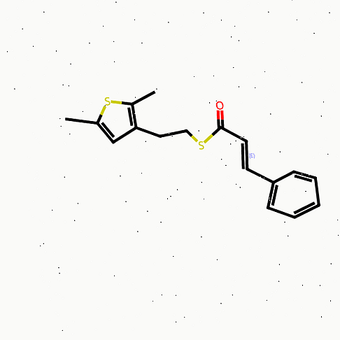 Cc1cc(CCSC(=O)/C=C/c2ccccc2)c(C)s1